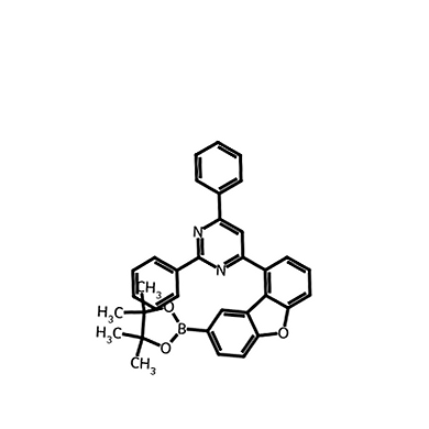 CC1(C)OB(c2ccc3oc4cccc(-c5cc(-c6ccccc6)nc(-c6ccccc6)n5)c4c3c2)OC1(C)C